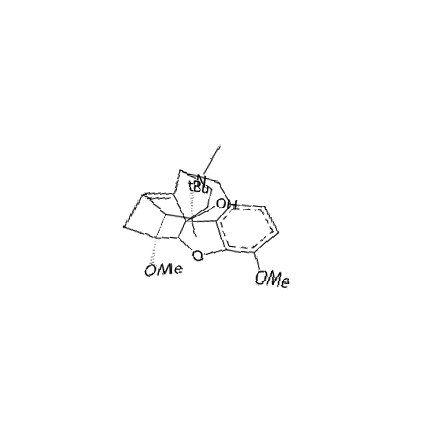 COc1ccc2c3c1OC1C34CCN(C)C(C2)C4=C2C[C@@]1(OC)C2[C@](C)(O)C(C)(C)C